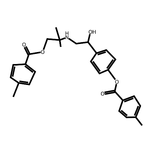 Cc1ccc(C(=O)OCC(C)(C)NCC(O)c2ccc(OC(=O)c3ccc(C)cc3)cc2)cc1